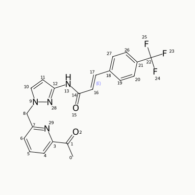 CC(=O)c1cccc(Cn2ccc(NC(=O)/C=C/c3ccc(C(F)(F)F)cc3)n2)n1